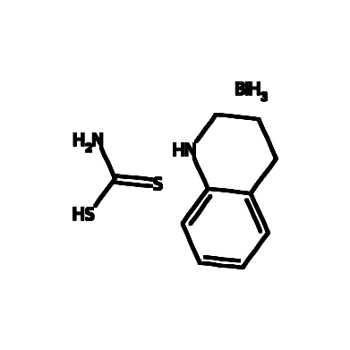 NC(=S)S.[BiH3].c1ccc2c(c1)CCCN2